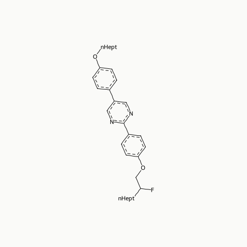 CCCCCCCOc1ccc(-c2cnc(-c3ccc(OCC(F)CCCCCCC)cc3)nc2)cc1